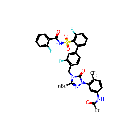 CCCCc1nn(-c2cc(NC(=O)CC)ccc2C(F)(F)F)c(=O)n1Cc1ccc(-c2cccc(F)c2S(=O)(=O)NC(=O)c2ccccc2F)cc1F